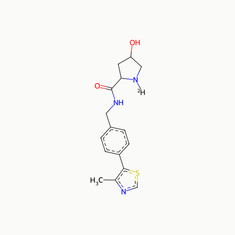 [2H]N1CC(O)CC1C(=O)NCc1ccc(-c2scnc2C)cc1